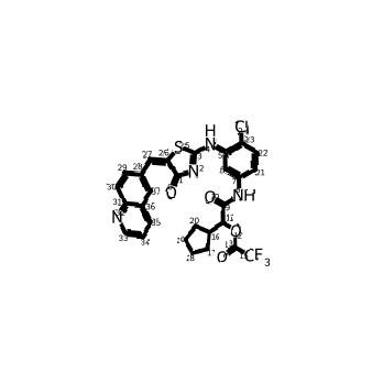 O=C1N=C(Nc2cc(NC(=O)C(OC(=O)C(F)(F)F)C3CCCC3)ccc2Cl)SC1=Cc1ccc2ncccc2c1